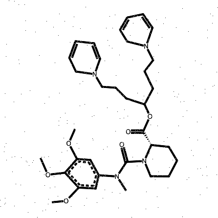 COc1cc(N(C)C(=O)N2CCCC[C@H]2C(=O)OC(CCCN2C=CC=CC2)CCCN2C=CC=CC2)cc(OC)c1OC